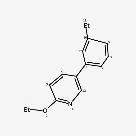 CCOc1ccc(-c2cccc(CC)c2)cn1